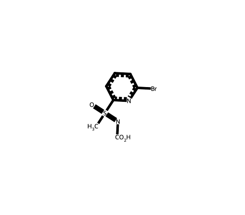 CS(=O)(=NC(=O)O)c1cccc(Br)n1